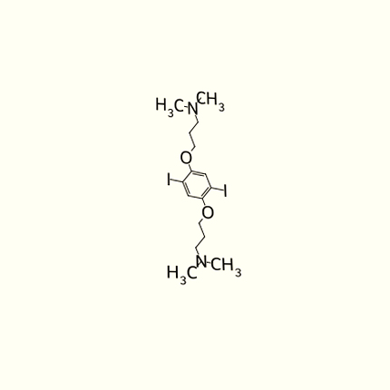 CN(C)CCCOc1cc(I)c(OCCCN(C)C)cc1I